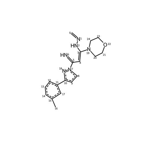 C=NN/C(=C\C(=N)n1ccc(-c2cccc(C)c2)n1)N1CCOCC1